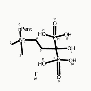 CCCCC[N+](C)(C)CCC(O)(P(=O)(O)O)P(=O)(O)O.[I-]